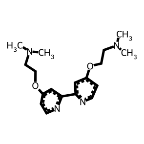 CN(C)CCOc1ccnc(-c2cc(OCCN(C)C)ccn2)c1